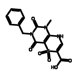 Cn1c2c(c(=O)n(Cc3ccccc3)c1=O)S(=O)(=O)C(C(=O)O)=CN2